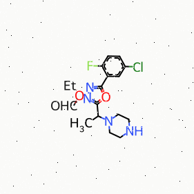 CC(c1nnc(-c2cc(Cl)ccc2F)o1)N1CCNCC1.CCOC=O